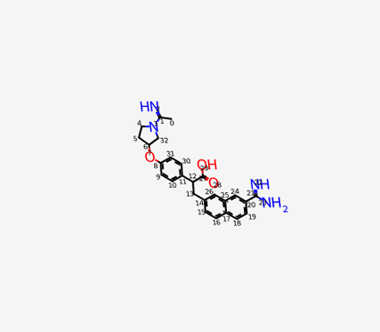 CC(=N)N1CCC(Oc2ccc(C(Cc3ccc4ccc(C(=N)N)cc4c3)C(=O)O)cc2)C1